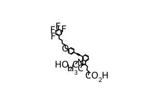 Cc1c(CCCC(=O)O)c2cccc(C#Cc3ccc(OCCCCc4cc(F)c(F)c(F)c4F)cc3)c2n1CC(=O)O